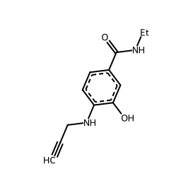 C#CCNc1ccc(C(=O)NCC)cc1O